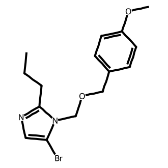 CCCc1ncc(Br)n1COCc1ccc(OC)cc1